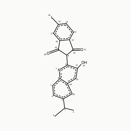 CC(C)c1ccc2nc(C3C(=O)c4ccc(I)cc4C3=O)c(O)cc2c1